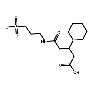 O=C(O)CC(CC(=O)NCCCS(=O)(=O)O)C1CCCCC1